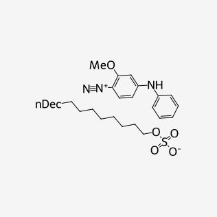 CCCCCCCCCCCCCCCCCCOS(=O)(=O)[O-].COc1cc(Nc2ccccc2)ccc1[N+]#N